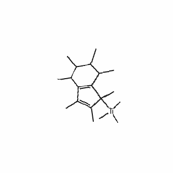 CC1=C(C)[C](C)([Ti]([CH3])([CH3])[CH3])C2=C1C(C)C(C)C(C)C2C